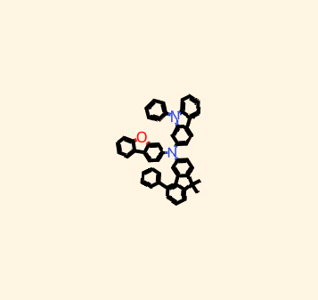 CC1(C)c2ccc(N(c3ccc4c(c3)oc3ccccc34)c3ccc4c5ccccc5n(-c5ccccc5)c4c3)cc2-c2c(-c3ccccc3)cccc21